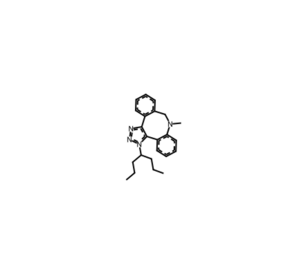 CCCC(CCC)n1nnc2c1-c1ccccc1N(C)Cc1ccccc1-2